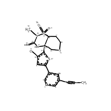 CC#Cc1cncc(-c2cc(Cl)c([C@]34COCCC3S(=O)(=O)N(C)C(=N)N4)s2)c1